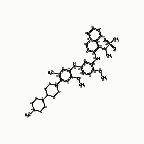 COc1cc(N2CCC(N3CCN(C)CC3)CC2)c(C)cc1Nc1ncc(OC)c(Nc2ccc3nccnc3c2N(C)S(C)(=O)=O)n1